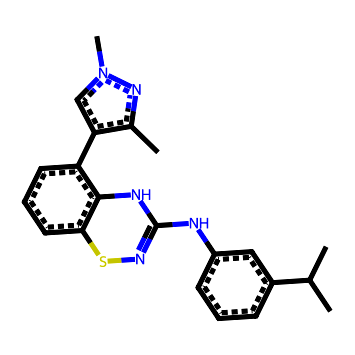 Cc1nn(C)cc1-c1cccc2c1NC(Nc1cccc(C(C)C)c1)=NS2